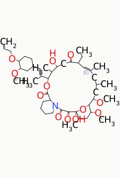 C=CCOC1CCC(C=C(C)C2OC(=O)C3CCCCN3C(=O)C(=O)C3(O)OC(C(OC)CC(C)C/C(C)=C/C(CC)C(=O)CC(O)C2C)C(OC)CC3C)CC1OC